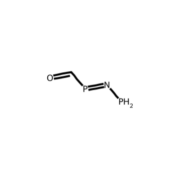 O=CP=NP